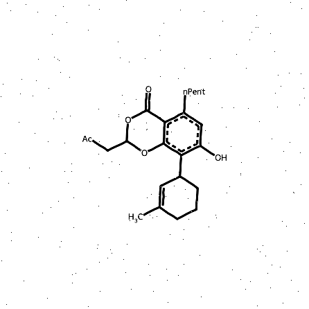 CCCCCc1cc(O)c(C2C=C(C)CCC2)c2c1C(=O)OC(CC(C)=O)O2